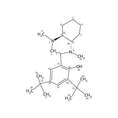 CN(C)[C@H]1CCCC[C@@H]1N(C)Cc1cc(C(C)(C)C)cc(C(C)(C)C)c1O